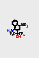 Nc1c(C(O)(C(F)(F)F)C(F)(F)F)cc([N+](=O)[O-])c2ccccc12